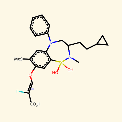 CSc1cc2c(cc1O/C=C(\F)C(=O)O)S(O)(O)N(C)C(CCC1CC1)CN2c1ccccc1